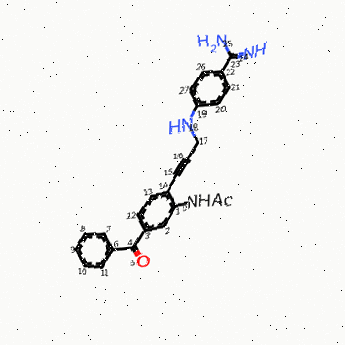 CC(=O)Nc1cc(C(=O)c2ccccc2)ccc1C#CCNc1ccc(C(=N)N)cc1